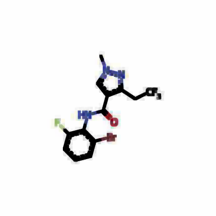 Cn1cc(C(=O)Nc2c(F)cccc2Br)c(CC(F)(F)F)n1